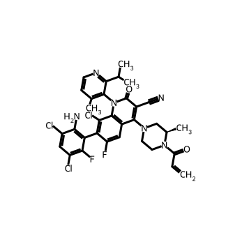 C=CC(=O)N1CCN(c2c(C#N)c(=O)n(-c3c(C)ccnc3C(C)C)c3c(Cl)c(-c4c(N)c(Cl)cc(Cl)c4F)c(F)cc23)C[C@H]1C